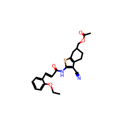 CCOc1ccccc1C=CC(=O)Nc1sc2c(c1C#N)CCC(COC(C)=O)C2